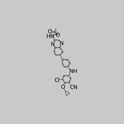 CS(=O)(=O)Nc1cnc2cc(-c3ccc(Nc4cc(Cl)c(OC5CC5)c(C#N)c4)cc3)ccc2n1